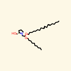 CCCCCC=CCC=CCCCCCCCCOC(CN1CCC[C@H]1CO)OCCCCCCCCCC